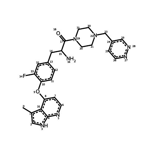 Cc1c[nH]c2nccc(Oc3ccc(CC(N)C(=O)N4CCN(Cc5ccnnc5)CC4)cc3F)c12